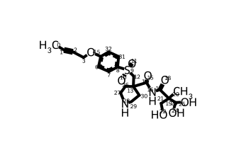 CC#CCOc1ccc(S(=O)(=O)CC2(C(=O)NC(=O)C(C)(CO)C(O)O)CCNCC2)cc1